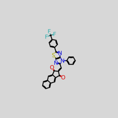 O=C1C(=Cc2nc3sc(-c4ccc(C(F)(F)F)cc4)nc3n2-c2ccccc2)C(=O)c2cc3ccccc3cc21